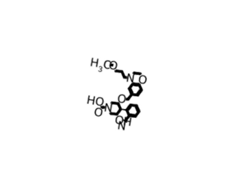 COCCCN1CCOc2ccc(CO[C@H]3CN(C(=O)O)C[C@@H](O)[C@@H]3c3ccccc3C#N)cc21